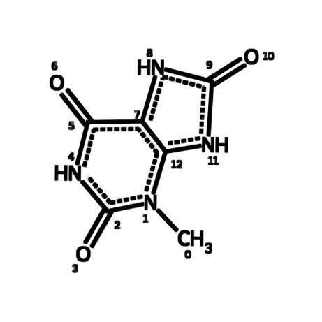 Cn1c(=O)[nH]c(=O)c2[nH]c(=O)[nH]c21